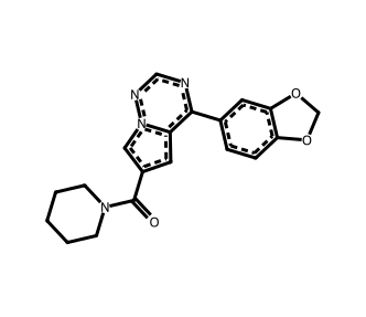 O=C(c1cc2c(-c3ccc4c(c3)OCO4)ncnn2c1)N1CCCCC1